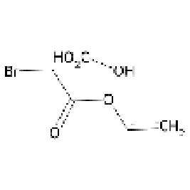 C=COC(=O)CBr.O=C(O)O